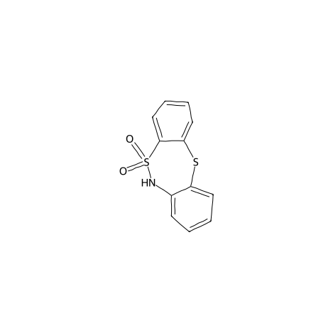 O=S1(=O)Nc2ccccc2Sc2ccccc21